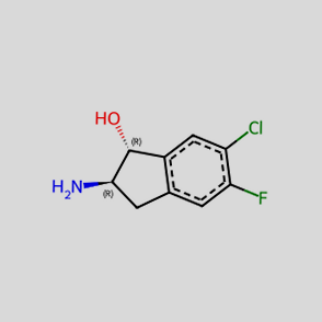 N[C@@H]1Cc2cc(F)c(Cl)cc2[C@H]1O